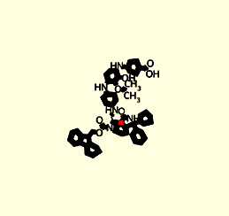 CC(C)Oc1c(Nc2ccc(NC[C@H](CC(=O)NC(c3ccccc3)(c3ccccc3)c3ccccc3)NC(=O)OCC3c4ccccc4-c4ccccc43)cc2)ccc(Nc2ccc(C(=O)O)cc2)c1O